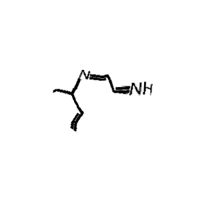 C=CC(C)/N=C\C=N